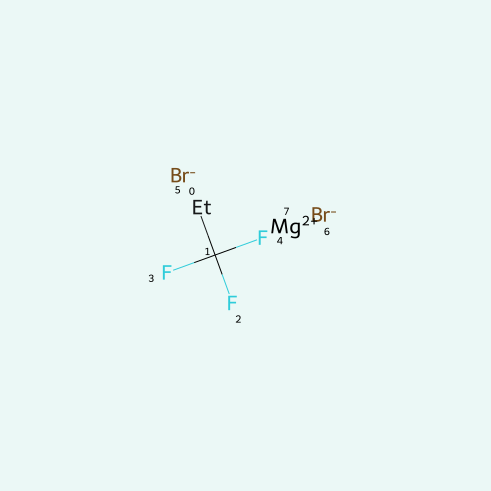 CCC(F)(F)F.[Br-].[Br-].[Mg+2]